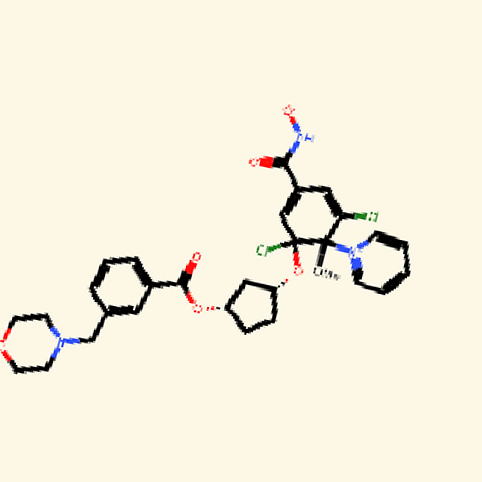 COC1([n+]2ccccc2)C(Cl)=CC(C(=O)N[O-])=CC1(Cl)O[C@@H]1CC[C@H](OC(=O)c2cccc(CN3CCOCC3)c2)C1